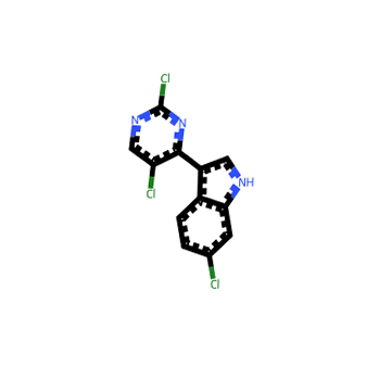 Clc1ccc2c(-c3nc(Cl)ncc3Cl)c[nH]c2c1